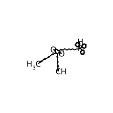 C#CC#CC#CC#CC1=C(C#CC#CC#CC#CC)C(=O)C=C(CCCCCCCCCC[PH](c2ccccc2)(c2ccccc2)c2ccccc2)C1=O